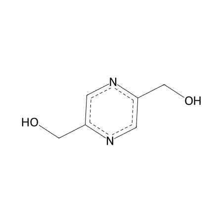 OCc1cnc(CO)cn1